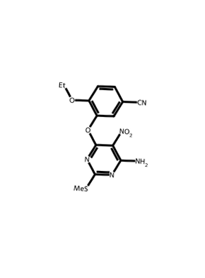 CCOc1ccc(C#N)cc1Oc1nc(SC)nc(N)c1[N+](=O)[O-]